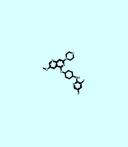 COc1cnc2cc(N3CCOCC3)nc(OC3CCC(Nc4ncc(F)cc4F)CC3)c2c1